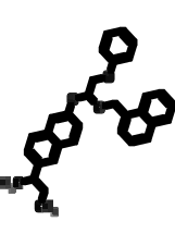 CCC(C)c1ccc2cc(OC(COc3ccccc3)OCc3cccc4ccccc34)ccc2c1